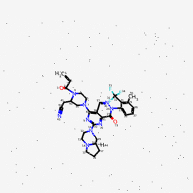 C=CC(=O)N1CCN(c2nc(N3CCN4CCC[C@@H]4C3)nc3c(=O)n(-c4cccc(C)c4C(F)(F)F)ncc23)CC1CC#N